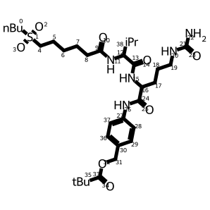 CCCCS(=O)(=O)CCCCCC(=O)NC(C(=O)NC(CCCNC(N)=O)C(=O)Nc1ccc(COC(=O)C(C)(C)C)cc1)C(C)C